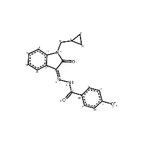 O=C(NN=C1C(=O)N(CC2CC2)c2ccccc21)c1ccc(C(F)(F)F)cc1